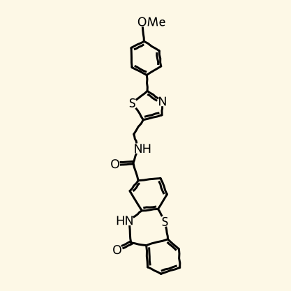 COc1ccc(-c2ncc(CNC(=O)c3ccc4c(c3)NC(=O)c3ccccc3S4)s2)cc1